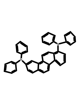 c1ccc(N(c2ccccc2)c2ccc3ccc4c5cccc(N(c6ccccc6)c6ccccc6)c5ccc4c3c2)cc1